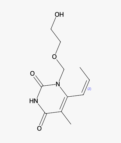 C/C=C\c1c(C)c(=O)[nH]c(=O)n1COCCO